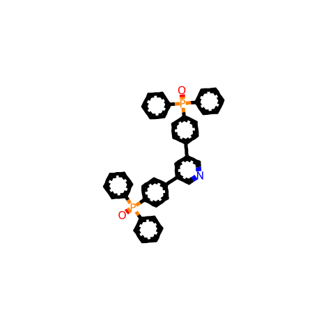 O=P(c1ccccc1)(c1ccccc1)c1ccc(-c2cncc(-c3ccc(P(=O)(c4ccccc4)c4ccccc4)cc3)c2)cc1